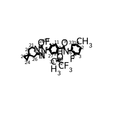 Cc1ccc(F)c(NC(=O)c2cc(F)c(-n3nc4n(c3=O)CCC3(CC3)C4)cc2O[C@@H](C)C(F)(F)F)c1